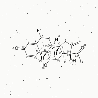 C=C1C[C@H]2[C@@H]3CC(F)C4=CC(=O)C=C[C@]4(C)[C@H]3C(O)C[C@]2(C)[C@@]1(O)C(C)=O